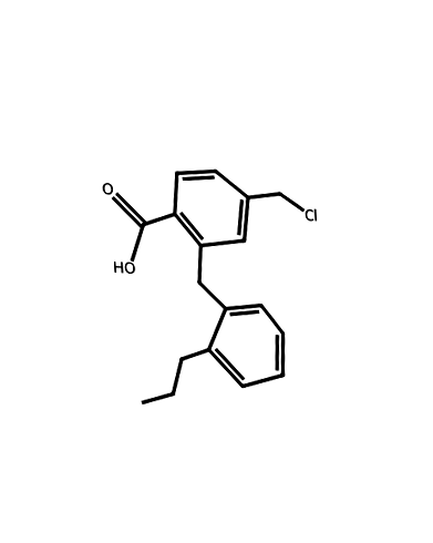 CCCc1ccccc1Cc1cc(CCl)ccc1C(=O)O